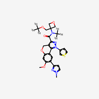 [2H]C([2H])([2H])OCC1(N(C(=O)c2nn(-c3ccsc3)c3c2COc2cc(OC)c(-c4ccn(C)n4)cc2-3)C([2H])([2H])[2H])COC1